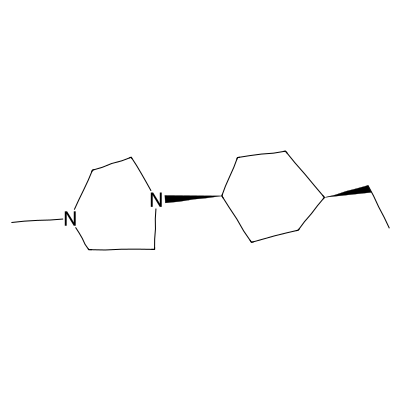 CC[C@H]1CC[C@@H](N2CCN(C)CC2)CC1